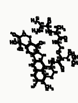 CC[C@@]1(O)C(=O)OCc2c1cc1n(c2=O)Cc2c-1nc1cc(F)c(C)c3c1c2[C@@H](NC(=O)[C@@H](CO)OCNC(=O)[C@H](C)NC(=O)[C@H](C)N)CC3.O=CO